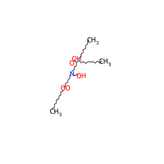 CCCCCCCCCCCOC(=O)CCCCCN(CCO)CCCCC(C(=O)O)C(CCCCCCCCCC)CCCCCCCCCC